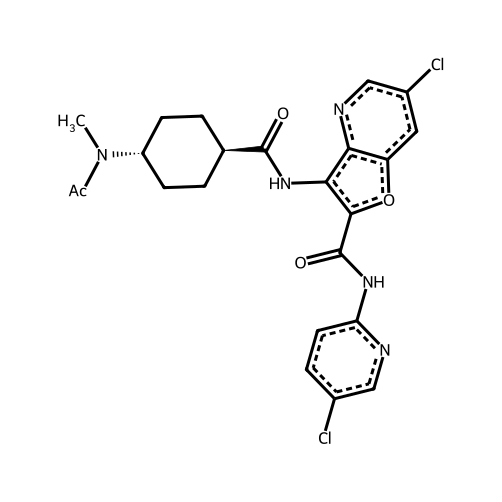 CC(=O)N(C)[C@H]1CC[C@H](C(=O)Nc2c(C(=O)Nc3ccc(Cl)cn3)oc3cc(Cl)cnc23)CC1